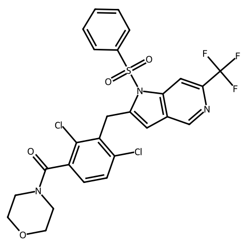 O=C(c1ccc(Cl)c(Cc2cc3cnc(C(F)(F)F)cc3n2S(=O)(=O)c2ccccc2)c1Cl)N1CCOCC1